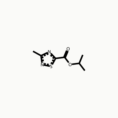 Cc1nsc(C(=O)OC(C)C)n1